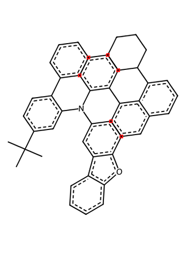 CC(C)(C)c1ccc(-c2ccccc2)c(N(c2ccc3oc4ccccc4c3c2)c2ccccc2-c2cccc3cccc(C4CCCCC4)c23)c1